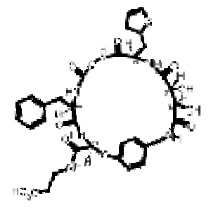 O=C(O)CCNC(=O)[C@@H]1Cc2ccc(cc2)NC(=O)[C@H](O)[C@@H](O)C(=O)N[C@H](CC2CC=CS2)C(=O)NCC(=O)N[C@H](Cc2ccccc2)C(=O)N1